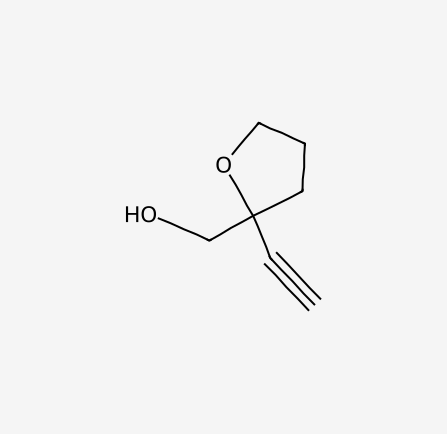 C#CC1(CO)CCCO1